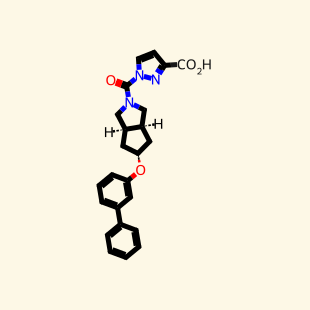 O=C(O)c1ccn(C(=O)N2C[C@H]3C[C@H](Oc4cccc(-c5ccccc5)c4)C[C@H]3C2)n1